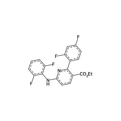 CCOC(=O)c1ccc(Nc2c(F)cccc2F)nc1-c1ccc(F)cc1F